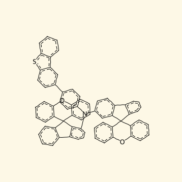 c1ccc2c(c1)Oc1ccccc1C21c2ccccc2-c2ccc(N(c3ccc(-c4ccc5sc6ccccc6c5c4)cc3)c3cccc4c3C3(c5ccccc5Oc5ccccc53)c3ccccc3-4)cc21